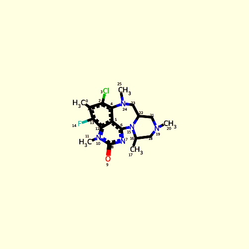 Cc1c(Cl)c2c3c(nc(=O)n(C)c3c1F)N1C(C)CN(C)CC1CN2C